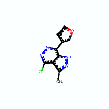 Cc1n[nH]c2c(-c3ccoc3)nnc(Cl)c12